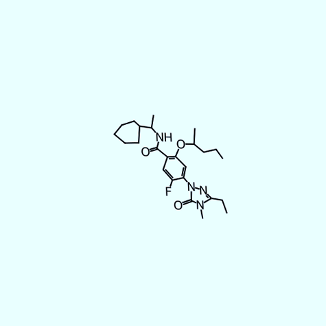 CCCC(C)Oc1cc(-n2nc(CC)n(C)c2=O)c(F)cc1C(=O)NC(C)C1CCCCC1